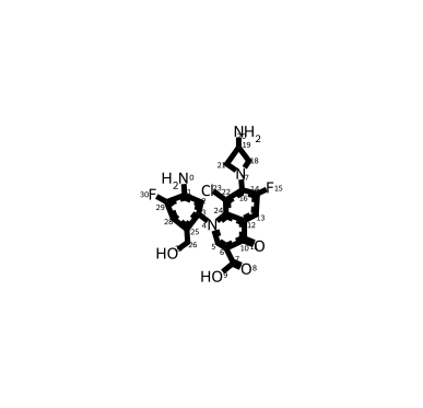 Nc1cc(-n2cc(C(=O)O)c(=O)c3cc(F)c(N4CC(N)C4)c(Cl)c32)c(CO)cc1F